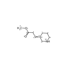 COC(=O)CS[C@H]1CCCNC1